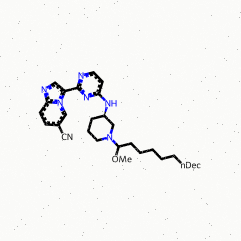 CCCCCCCCCCCCCCCC(OC)N1CCC[C@@H](Nc2ccnc(-c3cnc4ccc(C#N)cn34)n2)C1